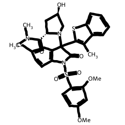 COc1ccc(S(=O)(=O)N2C(=O)C(c3sc4ccccc4c3C)(N3C[C@H](O)C[C@H]3C(=O)N(C)C)c3cc(Cl)ccc32)c(OC)c1